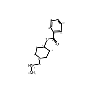 CNCN1CCC(OC(=O)c2ccccc2)CC1